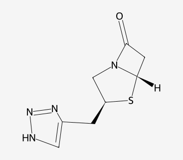 O=C1C[C@@H]2S[C@@H](Cc3c[nH]nn3)CN12